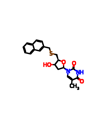 Cc1cn([C@H]2CC(O)[C@@H](CSCc3ccc4ccccc4c3)O2)c(=O)[nH]c1=O